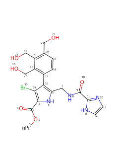 CCCOC(=O)c1[nH]c(CNC(=O)c2ncc[nH]2)c(-c2ccc(CO)c(CO)c2CO)c1Br